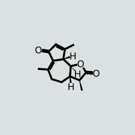 CC1=CC(=O)C2=C(C)CC[C@@H]3[C@H](OC(=O)[C@H]3C)[C@@H]12